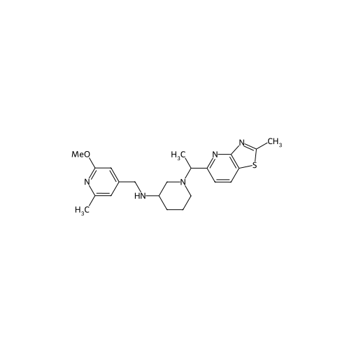 COc1cc(CNC2CCCN(C(C)c3ccc4sc(C)nc4n3)C2)cc(C)n1